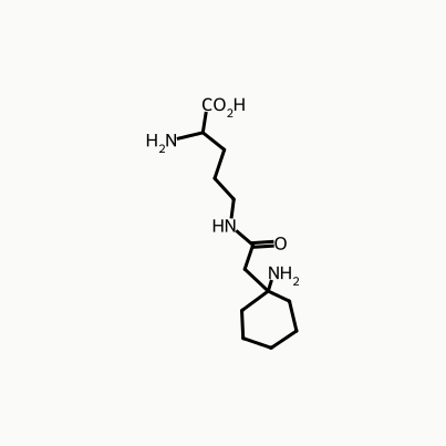 NC(CCCNC(=O)CC1(N)CCCCC1)C(=O)O